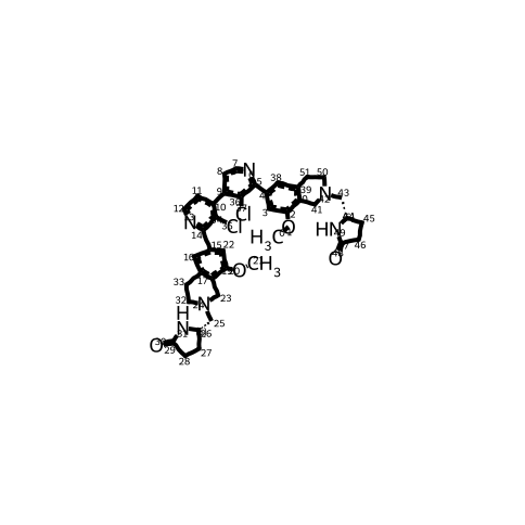 COc1cc(-c2nccc(-c3ccnc(-c4cc5c(c(OC)c4)CN(C[C@@H]4CCC(=O)N4)CC5)c3Cl)c2Cl)cc2c1CN(C[C@@H]1CCC(=O)N1)CC2